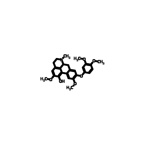 COc1ccc(Oc2cc3c(cc2OC)-c2c(O)c(OC)cc4c2C(C3)N(C)CC4)cc1OC